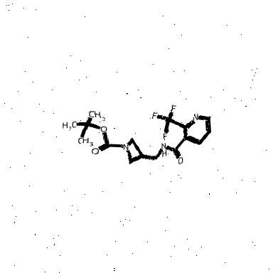 CC(C)(C)OC(=O)N1CC(CNC(=O)c2cccnc2C(F)(F)F)C1